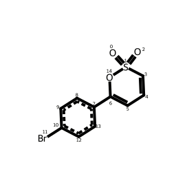 O=S1(=O)C=CC=C(c2ccc(Br)cc2)O1